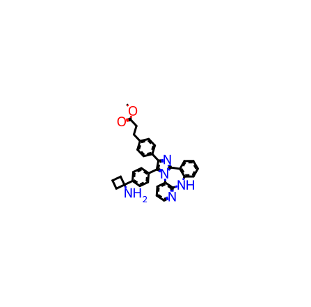 COC(=O)CCc1ccc(-c2nc3n(c2-c2ccc(C4(N)CCC4)cc2)-c2cccnc2Nc2ccccc2-3)cc1